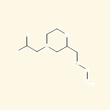 CSNCC1CN(CC(F)F)CCO1